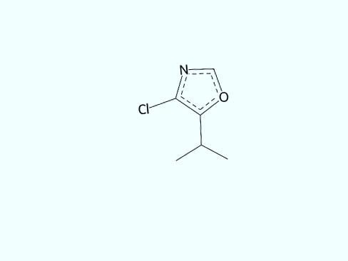 CC(C)c1ocnc1Cl